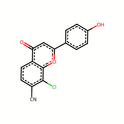 N#Cc1ccc2c(=O)cc(-c3ccc(O)cc3)oc2c1Cl